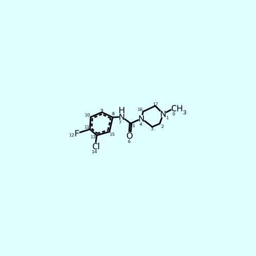 CN1CCN(C(=O)Nc2ccc(F)c(Cl)c2)CC1